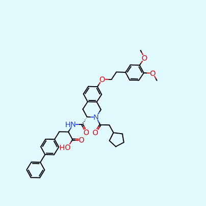 COc1ccc(CCOc2ccc3c(c2)CN(C(=O)CC2CCCC2)[C@H](C(=O)NC(Cc2ccc(-c4ccccc4)cc2)C(=O)O)C3)cc1OC